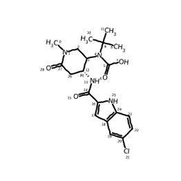 CN1CC(N(C(=O)O)C(C)(C)C)[C@H](NC(=O)c2cc3cc(Cl)ccc3[nH]2)CC1=O